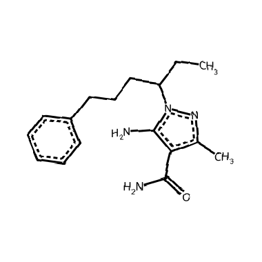 CCC(CCCc1ccccc1)n1nc(C)c(C(N)=O)c1N